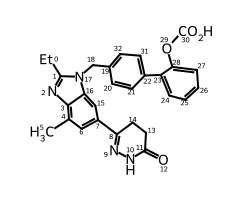 CCc1nc2c(C)cc(C3=NNC(=O)CC3)cc2n1Cc1ccc(-c2ccccc2OC(=O)O)cc1